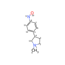 CN1CCC(c2ccc(N=O)cc2)C1